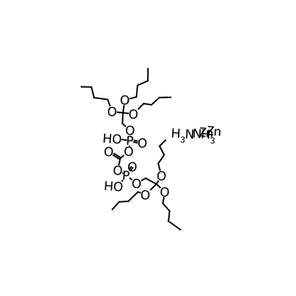 CCCCOC(COP(=O)(O)OC(=O)OP(=O)(O)OCC(OCCCC)(OCCCC)OCCCC)(OCCCC)OCCCC.N.N.[Zn].[Zn]